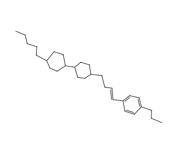 CCCCCC1CCC(C2CCC(CCC=Cc3ccc(CCC)cc3)CC2)CC1